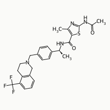 CC(=O)Nc1nc(C)c(C(=O)N[C@@H](C)c2ccc(CN3CCc4c(cccc4C(F)(F)F)C3)cc2)s1